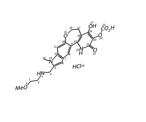 COCCNCc1cc2cc3c(cc2n1C)OCCc1c-3[nH]c(=O)c(OC(=O)O)c1O.Cl